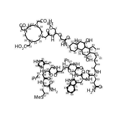 CCOCC(NC(=O)CN1CCN(CC(=O)O)CCN(CC(=O)O)CCN(CC(=O)O)CC1)OCC(=O)N[C@H]1CC[C@]2(C)C3C[C@H](O)[C@@]4(C)C(CC[C@@H]4[C@H](C)CCCN[C@@H](CCC(N)=O)C(=O)N[C@@H](Cc4c[nH]c5ccccc45)C(=O)N[C@@H](C)C(=O)N[C@H](C(=O)NCC(=O)N[C@@H](Cc4c[nH]cn4)C(=O)N[C@@H](CC(C)C)C(=O)N[C@@H](CCSC)C(N)=O)C(C)C)C3[C@H](O)C[C@@H]2C1